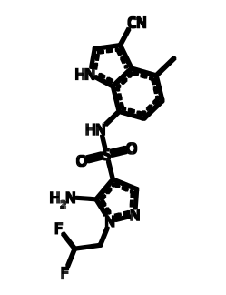 Cc1ccc(NS(=O)(=O)c2cnn(CC(F)F)c2N)c2[nH]cc(C#N)c12